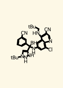 BC(Nc1cc(Cl)c2ncc(C#N)c(NCC(C)(C)C)c2c1)(C1=CN(C(C)(C)C)NN1)c1cccc(C#N)c1